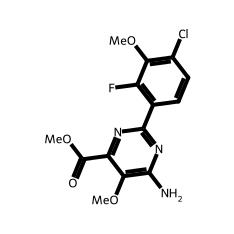 COC(=O)c1nc(-c2ccc(Cl)c(OC)c2F)nc(N)c1OC